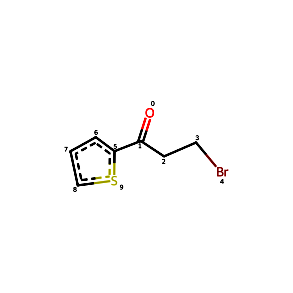 O=C(CCBr)c1cccs1